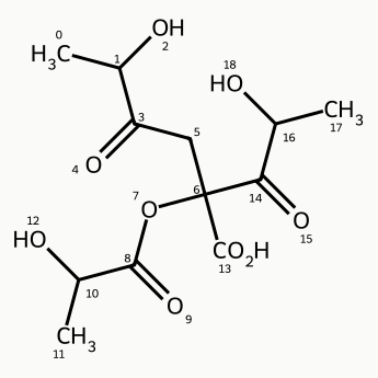 CC(O)C(=O)CC(OC(=O)C(C)O)(C(=O)O)C(=O)C(C)O